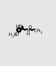 CCCC(=O)NCCc1c[nH]c2ccc(OC)cc12